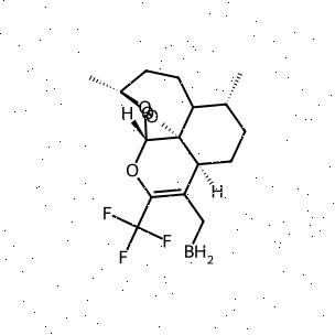 BCC1=C(C(F)(F)F)O[C@@H]2O[C@]3(C)CCC4[C@H](C)CC[C@@H]1[C@]42OO3